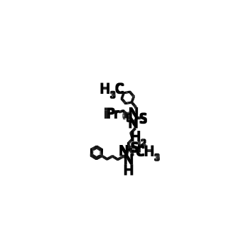 C[SiH2][C@]1(CCCCN2C[C@@H](CC(C)C)N(CC3CCC(C)CC3)C2=S)CNC(CCCc2ccccc2)=N1